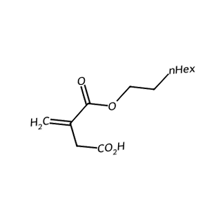 C=C(CC(=O)O)C(=O)OCCCCCCCC